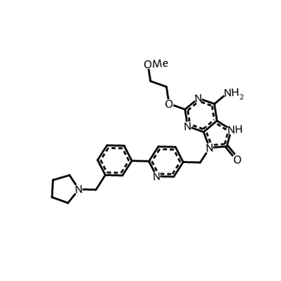 COCCOc1nc(N)c2[nH]c(=O)n(Cc3ccc(-c4cccc(CN5CCCC5)c4)nc3)c2n1